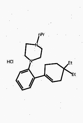 CCCN1CCN(c2ccccc2C2=CCC(CC)(CC)CC2)CC1.Cl